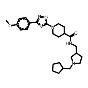 COc1ccc(-c2noc(N3CCC(C(=O)NCC4CCN(CC5CCCC5)C4)CC3)n2)cc1